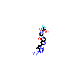 Cc1cc(-c2cnc3c(c2)C(=O)N(C2CCN(C(=O)[C@@](C)(O)C(F)(F)F)C2)CC3)n2ncnc(N)c12